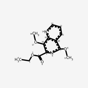 CCOC(=O)c1nc(OC)c2cccnc2c1OC